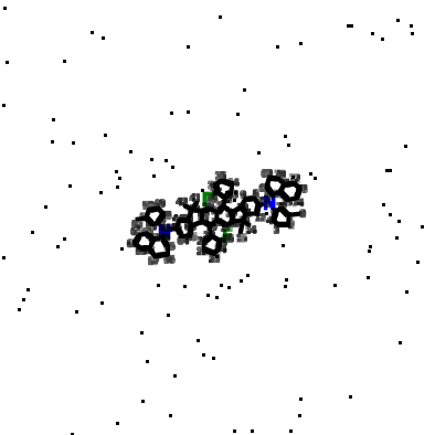 Cc1cccc(N(c2ccc3c(c2)C(C)(C)c2cc4c(-c5ccccc5F)c5c(cc4c(-c4ccccc4F)c2-3)C(C)(C)c2cc(N(c3cccc(C)c3)c3cccc4ccccc34)ccc2-5)c2cccc3ccccc23)c1